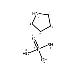 C1CCNC1.O=P(O)(O)S